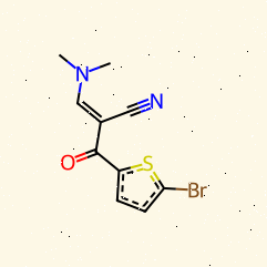 CN(C)/C=C(\C#N)C(=O)c1ccc(Br)s1